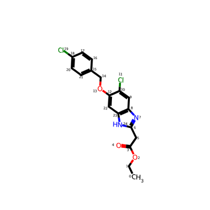 CCOC(=O)Cc1nc2cc(Cl)c(OCc3ccc(Cl)cc3)cc2[nH]1